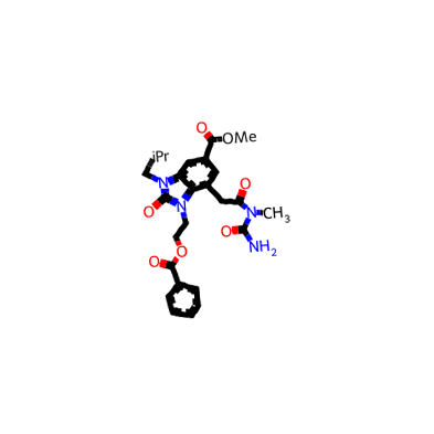 COC(=O)c1cc(CC(=O)N(C)C(N)=O)c2c(c1)n(CC(C)C)c(=O)n2CCOC(=O)c1ccccc1